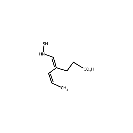 C/C=C\C(=C/NS)CCC(=O)O